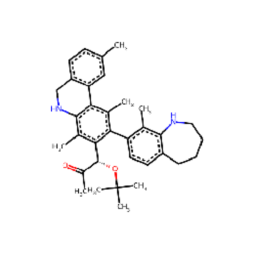 CC(=O)[C@@H](OC(C)(C)C)c1c(C)c2c(c(C)c1-c1ccc3c(c1C)NCCCC3)-c1cc(C)ccc1CN2